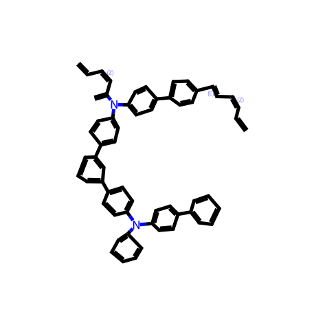 C=C/C=C\C=C\c1ccc(-c2ccc(N(C(=C)/C=C\C=C)c3ccc(-c4cccc(-c5ccc(N(c6ccccc6)c6ccc(-c7ccccc7)cc6)cc5)c4)cc3)cc2)cc1